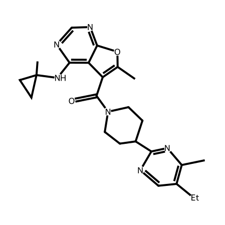 CCc1cnc(C2CCN(C(=O)c3c(C)oc4ncnc(NC5(C)CC5)c34)CC2)nc1C